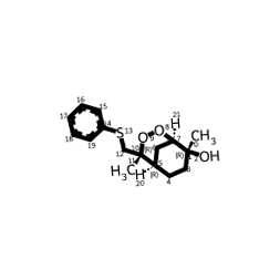 C[C@@]1(O)CC[C@@H]2C[C@H]1OO[C@@]2(C)CSc1ccccc1